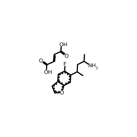 CC(N)CC(C)c1cc2occc2cc1F.O=C(O)C=CC(=O)O